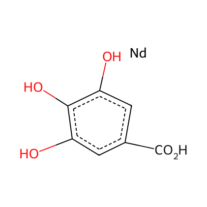 O=C(O)c1cc(O)c(O)c(O)c1.[Nd]